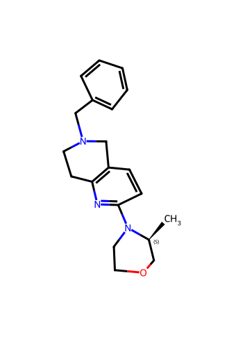 C[C@H]1COCCN1c1ccc2c(n1)CCN(Cc1ccccc1)C2